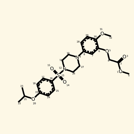 COC(=O)COc1cc(N2CCN(S(=O)(=O)c3ccc(OC(C)C)cc3)CC2)ccc1OC